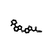 COC(=O)CC1COc2cc(O[C@@H]3CCc4c(-c5nccnc5C)cccc43)ccc21